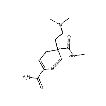 CNC(=O)C1(CCN(C)C)C=NC(C(N)=O)=CC1